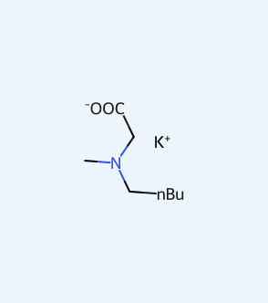 CCCCCN(C)CC(=O)[O-].[K+]